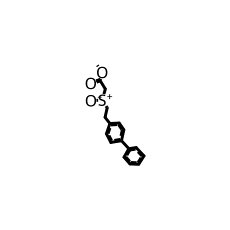 COC(=O)C[S+]([O-])CCc1ccc(-c2ccccc2)cc1